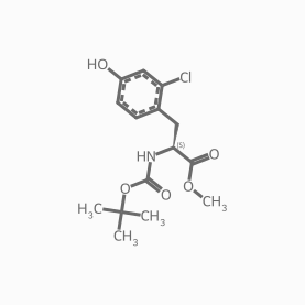 COC(=O)[C@H](Cc1ccc(O)cc1Cl)NC(=O)OC(C)(C)C